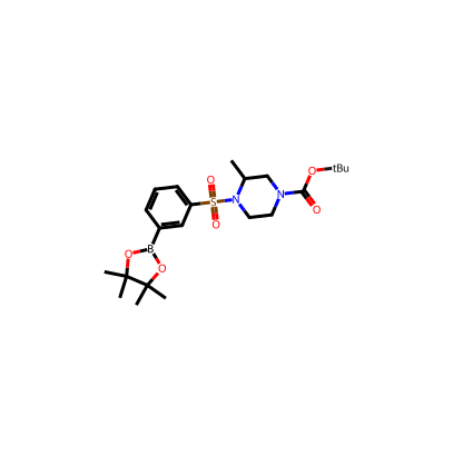 CC1CN(C(=O)OC(C)(C)C)CCN1S(=O)(=O)c1cccc(B2OC(C)(C)C(C)(C)O2)c1